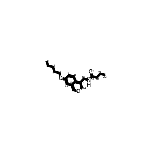 CCCCCOc1ccc2c(c1)=COCC=2CNC(=O)CCC